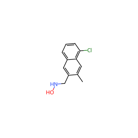 Cc1cc2c(Cl)cccc2cc1CNO